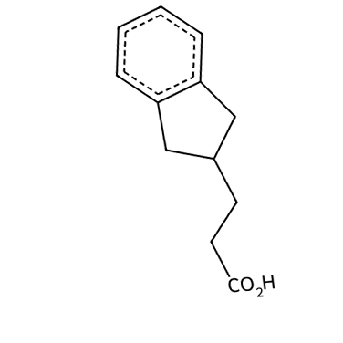 O=C(O)CCC1Cc2ccccc2C1